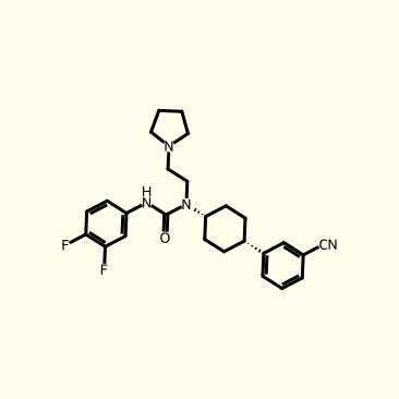 N#Cc1cccc([C@H]2CC[C@@H](N(CCN3CCCC3)C(=O)Nc3ccc(F)c(F)c3)CC2)c1